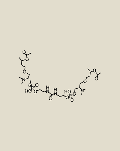 CC(=O)O[C@H](C)CCOC[C@H](COP(=O)(O)OCCNC(=O)NCCOP(=O)(O)OC[C@@H](COCC[C@@H](C)OC(C)=O)N(C)C)N(C)C